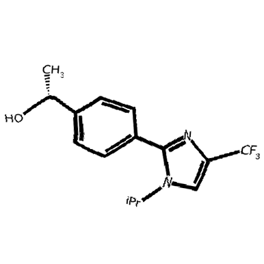 CC(C)n1cc(C(F)(F)F)nc1-c1ccc([C@@H](C)O)cc1